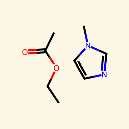 CCOC(C)=O.Cn1ccnc1